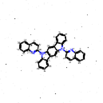 c1ccc2nc(-n3c4ccccc4c4cc5c(cc43)c3ccccc3n5-c3ccc4ccccc4n3)ccc2c1